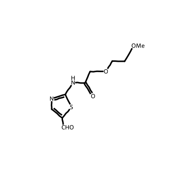 COCCOCC(=O)Nc1ncc(C=O)s1